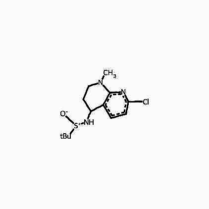 CN1CCC(N[S+]([O-])C(C)(C)C)c2ccc(Cl)nc21